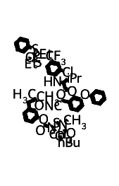 CC(C)C(Nc1ccc(C(F)(F)F)cc1Cl)C(=O)OC(C#N)c1cccc(Oc2ccccc2)c1.CCCCOC(=O)N(C)SN(C)C(=O)Oc1cccc2c1OC(C)(C)C2.CCOP(=S)(CC)Sc1ccccc1